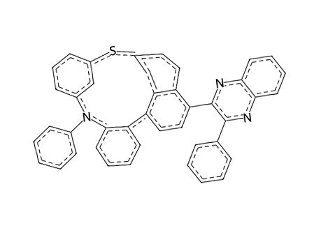 c1ccc(-c2nc3ccccc3nc2-c2ccc3c4cc(ccc24)sc2cccc(c2)n(-c2ccccc2)c2ccccc32)cc1